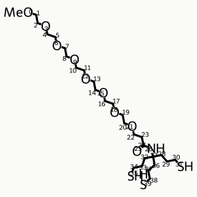 COCCOCCOCCOCCOCCOCCOCCOCCC(=O)NC(CCCS)(CCCS)CCCS